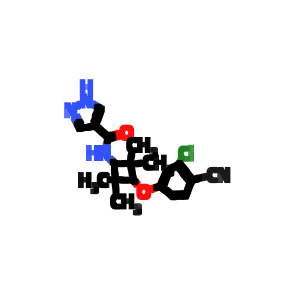 CC1(C)C(NC(=O)c2cn[nH]c2)C(C)(C)C1Oc1ccc(C#N)c(Cl)c1